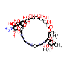 CO[C@@H]1[C@H](O)CC(O[C@H]2[C@@H](C)[C@H](C)OC(=O)C[C@H](O)C[C@H](O)C[C@H](O)CC[C@@H](O)[C@H](O)C[C@]3(O)C[C@H](O)[C@@H](C(=O)O)[C@H](C[C@@H](O[C@H]4O[C@H](C)[C@@H](O)[C@H](N)[C@@H]4O)/C=C/C=C/C=C/C=C/CC/C=C/C=C/[C@@H]2C)O3)O[C@H]1C